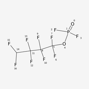 O=P(F)(F)OC(F)(F)C(F)(F)C(F)(F)C(F)F